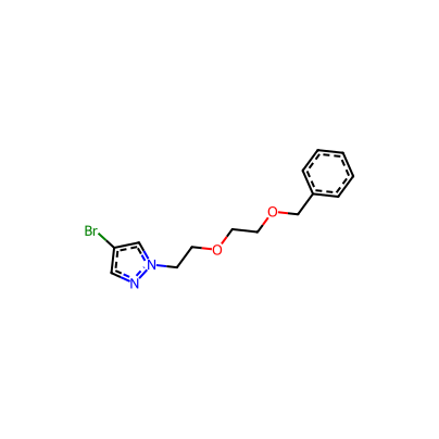 Brc1cnn(CCOCCOCc2ccccc2)c1